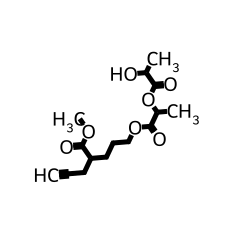 C#CCC(CCCOC(=O)C(C)OC(=O)C(C)O)C(=O)OC